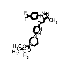 Cc1nnn(-c2ccc(C(F)F)cc2)c1COc1ccc(N2CCCN(C(=O)OC(C)(C)C)CC2)nn1